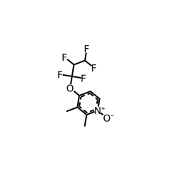 Cc1c(OC(F)(F)C(F)C(F)F)cc[n+]([O-])c1C